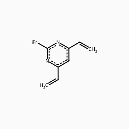 C=Cc1cc(C=C)nc(C(C)C)n1